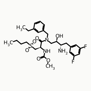 CCCCS(=O)(=O)C[C@H](NC(=O)OC)C(=O)N(Cc1cccc(CC)c1)C[C@@H](O)[C@@H](N)Cc1cc(F)cc(F)c1